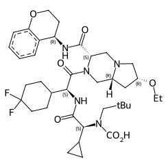 CCO[C@@H]1C[C@@H]2CN(C(=O)[C@@H](NC(=O)[C@H](C3CC3)N(CC(C)(C)C)C(=O)O)C3CCC(F)(F)CC3)[C@H](C(=O)N[C@@H]3CCOc4ccccc43)CN2C1